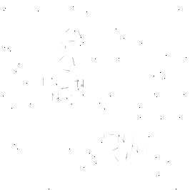 Nc1ccccc1NC(=O)CCCN1CCC(n2nc(-c3ccc(Oc4ccccc4)cc3)c3c(N)ncnc32)CC1